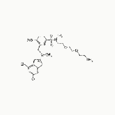 CN(Cc1cc(S(=O)(=O)N(C)CCOCCOCCN)ccc1O)[C@@H]1Cc2cc(Cl)cc(Cl)c2C1